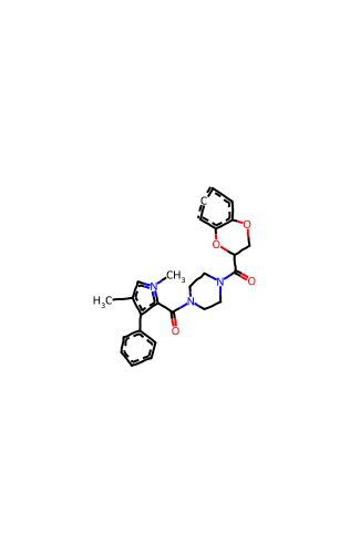 Cc1cn(C)c(C(=O)N2CCN(C(=O)C3COc4ccccc4O3)CC2)c1-c1ccccc1